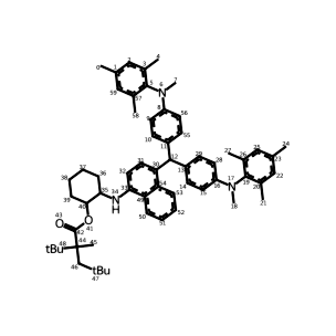 Cc1cc(C)c(N(C)c2ccc(C(c3ccc(N(C)c4c(C)cc(C)cc4C)cc3)c3ccc(NC4CCCCC4OC(=O)C(C)(CC(C)(C)C)C(C)(C)C)c4ccccc34)cc2)c(C)c1